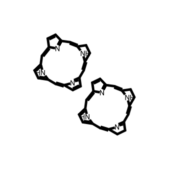 C1=Cc2cc3ccc(cc4nc(cc5[nH]c(cc1n2)CC5)C=C4)[nH]3.C1=Cc2cc3ccc(cc4nc(cc5[nH]c(cc1n2)CC5)CC4)[nH]3